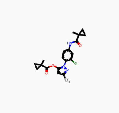 CC1(C(=O)Nc2ccc(-n3nc(C(F)(F)F)cc3OC(=O)C3(C)CC3)c(Cl)c2)CC1